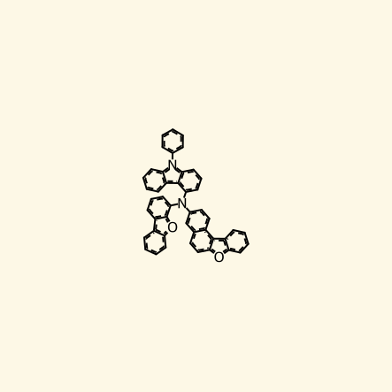 c1ccc(-n2c3ccccc3c3c(N(c4ccc5c(ccc6oc7ccccc7c65)c4)c4cccc5c4oc4ccccc45)cccc32)cc1